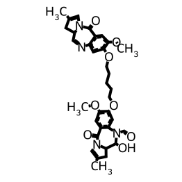 COc1cc2c(cc1OCCCCCOc1cc3c(cc1OC)C(=O)N1C=C(C)CC1C(O)N3C=O)N=CC1CC(C)=CN1C2=O